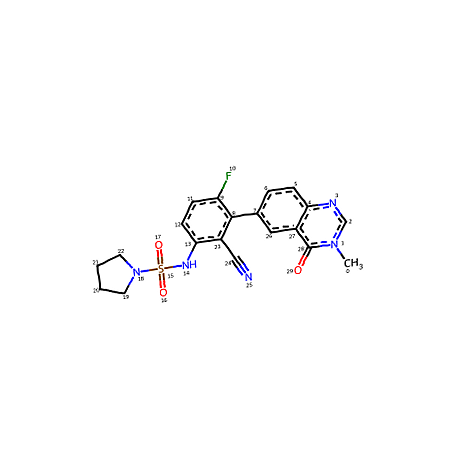 Cn1cnc2ccc(-c3c(F)ccc(NS(=O)(=O)N4CCCC4)c3C#N)cc2c1=O